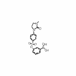 CN1CCN(c2ccc(S(=O)(=O)Oc3cccc(N(O)O)c3)cc2)C1=O